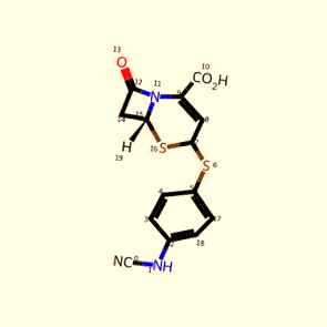 N#CNc1ccc(SC2C=C(C(=O)O)N3C(=O)C[C@H]3S2)cc1